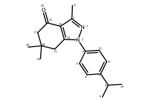 Cc1nn(-c2ccc(C(C)C)cc2)c2c1C(=O)CC(C)(C)C2